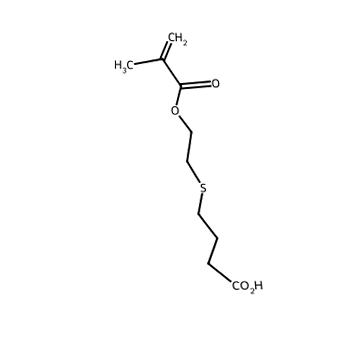 C=C(C)C(=O)OCCSCCCC(=O)O